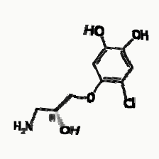 NC[C@@H](O)COc1cc(O)c(O)cc1Cl